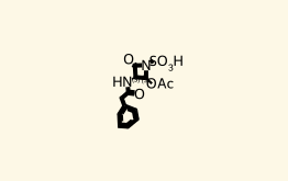 CC(=O)O[C@H]1[C@H](NC(=O)Cc2ccccc2)C(=O)N1S(=O)(=O)O